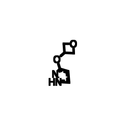 c1cc(OC2COC2)n[nH]1